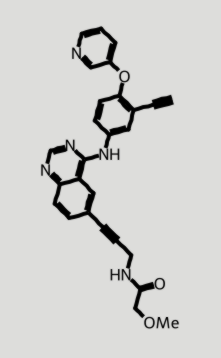 C#Cc1cc(Nc2ncnc3ccc(C#CCNC(=O)COC)cc23)ccc1Oc1cccnc1